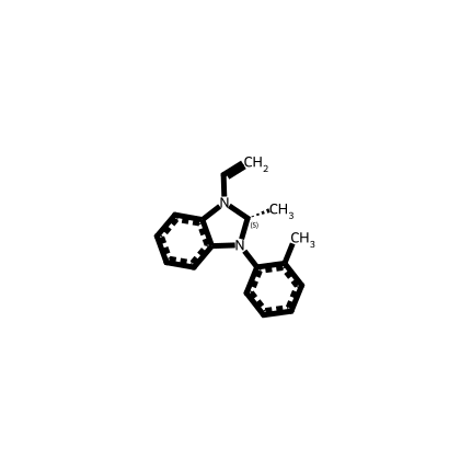 C=CN1c2ccccc2N(c2ccccc2C)[C@H]1C